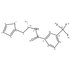 C[C@@H](Cc1cccs1)NC(=O)c1cccc(C(F)(F)F)c1